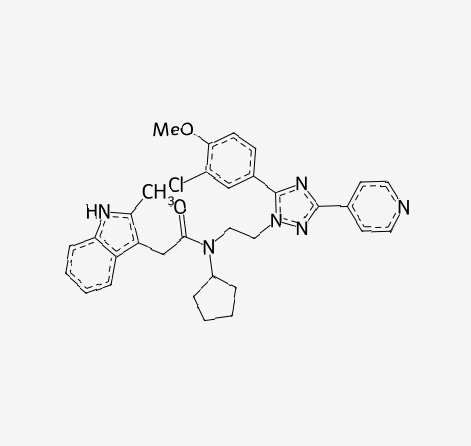 COc1ccc(-c2nc(-c3ccncc3)nn2CCN(C(=O)Cc2c(C)[nH]c3ccccc23)C2CCCC2)cc1Cl